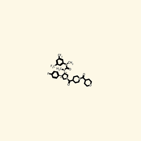 CN(C(=O)N(C)[C@@H]1CN(C(=O)C2CCN(C(=O)C3CCOCC3)CC2)C[C@H]1c1ccc(F)cc1)c1cc(C(F)(F)F)cc(C(F)(F)F)c1